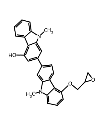 Cn1c2ccccc2c2c(O)cc(-c3ccc4c5c(OCC6CO6)cccc5n(C)c4c3)cc21